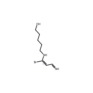 N=C/C=C(/Br)NCCCCCO